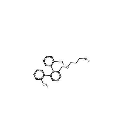 Cc1ccccc1-c1cccc(COCCCN)c1-c1ccccc1C